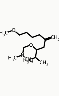 C=C(CCCCOC)CC(OCN(C)C)C(C)C